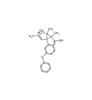 CC(C)=CC1(c2cccc(Oc3ccccc3)c2)C(C)(C)C1(C)C(=O)O